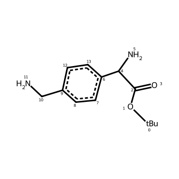 CC(C)(C)OC(=O)C(N)c1ccc(CN)cc1